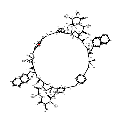 CC(=O)[C@@H]1Cc2ccc(cc2)OCc2cn(nn2)[C@H]2C[C@@H](C(=O)N[C@@H](Cc3ccc4ccccc4c3)C(=O)N[C@H](C(=O)O)Cc3ccc(cc3)OCc3cn(nn3)[C@H]3C[C@@H](C(=O)N[C@@H](Cc4ccc5ccccc5c4)C(=O)N1)N(C(=O)[C@@H](NC(=O)[C@H](C)N(C)C(=O)OC(C)(C)C)C(C)(C)C)C3)N(C(=O)[C@@H](NC(=O)[C@H](C)N(C)C(=O)OC(C)(C)C)C(C)(C)C)C2